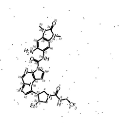 CC[C@@H]1CN(C(=O)NCC(F)(F)F)C[C@@H]1c1cnc2cnc3c(ccn3C(=O)Nc3cc4c(cc3N)n(C)c(=O)n4C)n12